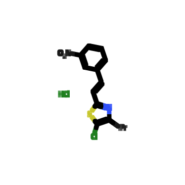 CC(C)c1nc(C=Cc2cccc([N+](=O)[O-])c2)sc1Cl.Cl